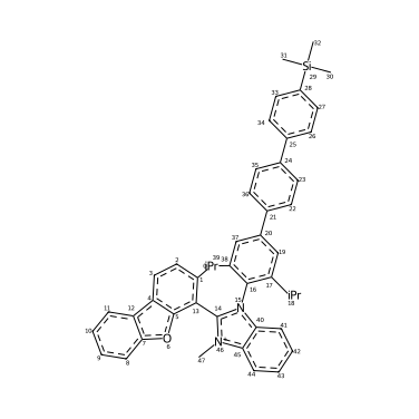 Cc1ccc2c(oc3ccccc32)c1-c1n(-c2c(C(C)C)cc(-c3ccc(-c4ccc([Si](C)(C)C)cc4)cc3)cc2C(C)C)c2ccccc2[n+]1C